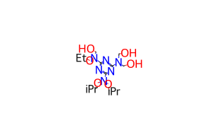 CCON(CO)c1nc(N(CO)CO)nc(N(OC(C)C)OC(C)C)n1